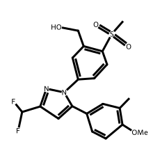 COc1ccc(-c2cc(C(F)F)nn2-c2ccc(S(C)(=O)=O)c(CO)c2)cc1C